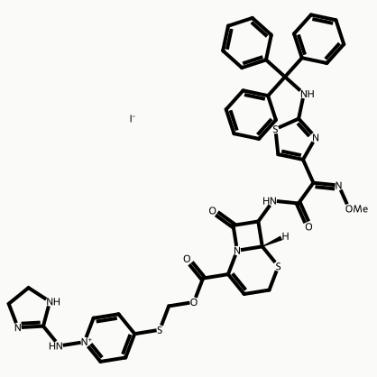 CO/N=C(\C(=O)NC1C(=O)N2C(C(=O)OCSc3cc[n+](NC4=NCCN4)cc3)=CCS[C@@H]12)c1csc(NC(c2ccccc2)(c2ccccc2)c2ccccc2)n1.[I-]